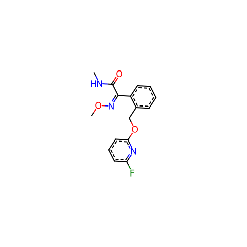 CNC(=O)/C(=N\OC)c1ccccc1COc1cccc(F)n1